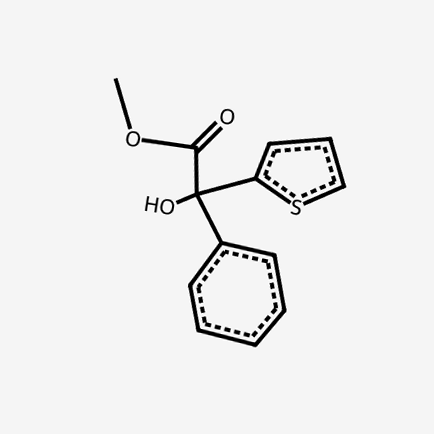 COC(=O)C(O)(c1ccccc1)c1cccs1